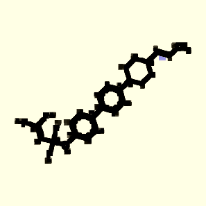 C/C=C/C1CCC(c2ccc(-c3ccc(OC(F)(F)C=C(F)F)cc3)cc2)CC1